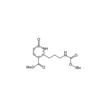 COC(=O)c1ccc(=O)[nH]c1CCCNC(=O)OC(C)(C)C